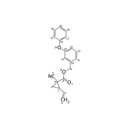 C=CC1CC1(C#N)C(=O)OCc1cccc(Oc2ccccc2)c1